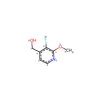 COc1nccc(CO)c1F